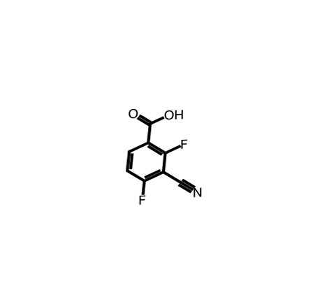 N#Cc1c(F)ccc(C(=O)O)c1F